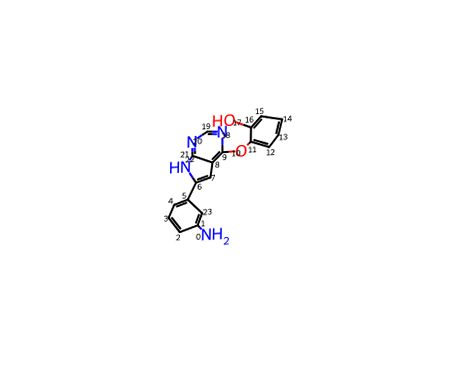 Nc1cccc(-c2cc3c(Oc4ccccc4O)ncnc3[nH]2)c1